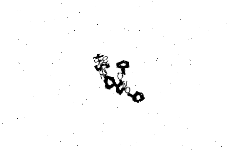 CC(C)(C)OC(=O)N1CC[C@@H]2[C@H]1CCN2c1cccc(-c2ccc(OCc3ccccc3)nc2OCc2ccccc2)c1